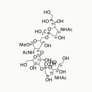 CO[C@H]1OC(CO[C@]2(C(=O)O)C[C@@H](O)[C@@H](NC(C)=O)C([C@H](O)[C@H](O)CO)O2)[C@H](O)[C@H](O[C@@H]2OC(CO)[C@H](O)C(O[C@]3(C(=O)O)C[C@@H](O)[C@@H](NC(C)=O)C([C@H](O)[C@H](O)CO)O3)[C@@H]2O)C1NC(C)=O